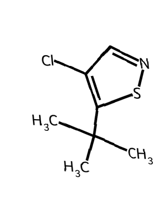 CC(C)(C)c1sncc1Cl